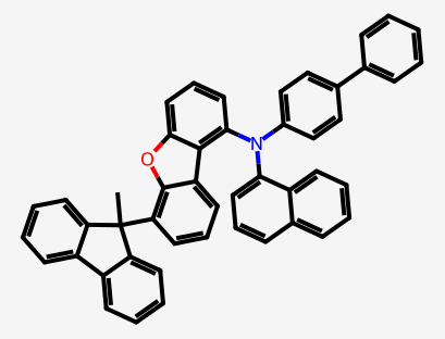 CC1(c2cccc3c2oc2cccc(N(c4ccc(-c5ccccc5)cc4)c4cccc5ccccc45)c23)c2ccccc2-c2ccccc21